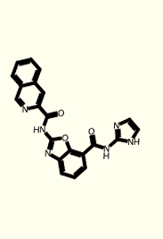 O=C(Nc1nc2cccc(C(=O)Nc3ncc[nH]3)c2o1)c1cc2ccccc2cn1